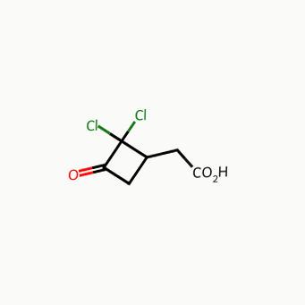 O=C(O)CC1CC(=O)C1(Cl)Cl